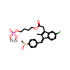 CCOP(=O)(OCC)OCCCCOC(=O)CC1=C(C)C(=Cc2ccc([S+](C)[O-])cc2)c2ccc(F)cc21